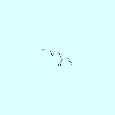 C=COOC(=O)C=C